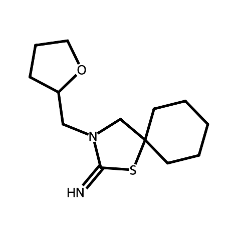 N=C1SC2(CCCCC2)CN1CC1CCCO1